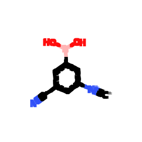 [C-]#[N+]c1cc(C#N)cc(B(O)O)c1